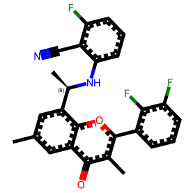 Cc1cc([C@@H](C)Nc2cccc(F)c2C#N)c2oc(-c3cccc(F)c3F)c(C)c(=O)c2c1